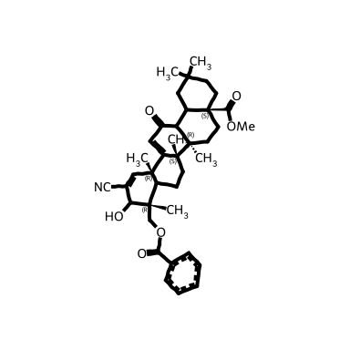 COC(=O)[C@]12CCC(C)(C)CC1C1C(=O)C=C3[C@@]4(C)C=C(C#N)C(O)[C@@](C)(COC(=O)c5ccccc5)C4CC[C@@]3(C)[C@]1(C)CC2